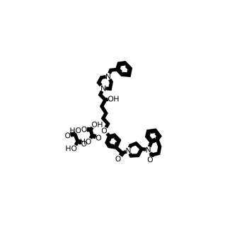 O=C(O)C(=O)O.O=C(O)C(=O)O.O=C(c1ccc(OCCCCC(O)CN2CCN(Cc3ccccc3)CC2)cc1)N1CCC(N2C(=O)CCc3ccccc32)CC1